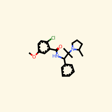 COc1ccc(Cl)c(C(=O)NC(c2ccccc2)C(C)(C)N2CCCC2C)c1